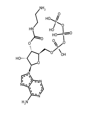 NCCNC(=O)O[C@H]1[C@@H](O)[C@H](n2cnc3c(N)ncnc32)O[C@@H]1COP(=O)(O)OP(=O)(O)OP(=O)(O)O